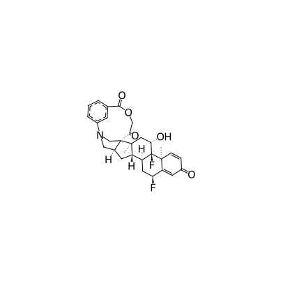 C[C@]12C=CC(=O)C=C1[C@@H](F)C[C@H]1[C@@H]3C[C@H]4CN5C[C@@]4(C(=O)COC(=O)c4cccc5c4)[C@@]3(C)C[C@H](O)[C@@]12F